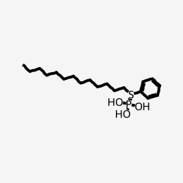 CCCCCCCCCCCCCS(c1ccccc1)=P(O)(O)O